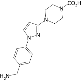 NCc1ccc(-n2ccc(N3CCN(C(=O)O)CC3)n2)cc1